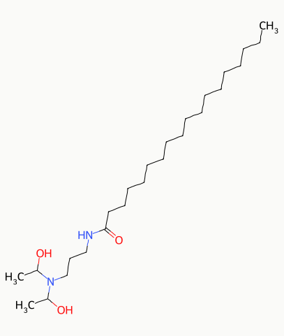 CCCCCCCCCCCCCCCCCC(=O)NCCCN(C(C)O)C(C)O